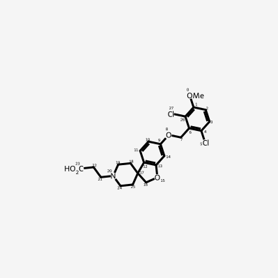 COc1ccc(Cl)c(COc2ccc3c(c2)OCC32CCN(CCC(=O)O)CC2)c1Cl